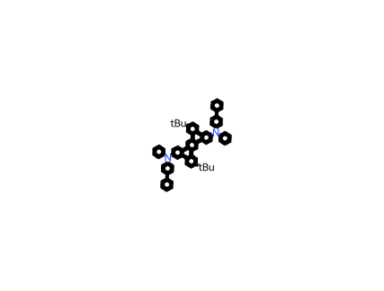 CC(C)(C)c1ccc2c3cc(N(c4ccccc4)c4ccc(-c5ccccc5)cc4)ccc3c3cc4c5cc(C(C)(C)C)ccc5c5cc(N(c6ccccc6)c6ccc(-c7ccccc7)cc6)ccc5c4cc3c2c1